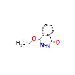 CCOC1N=NC(=O)c2ccccc21